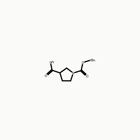 CCCC(=O)C1CCN(C(=O)OC(C)(C)C)C1